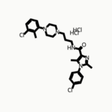 Cc1c(Cl)cccc1N1CCN(CCCNC(=O)c2nc(C)n(-c3ccc(Cl)cc3)c2C)CC1.Cl.Cl